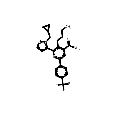 CCCCc1c(C(N)=O)cc(-c2ccc(C(F)(F)F)cc2)nc1-c1ccnn1CC1CC1